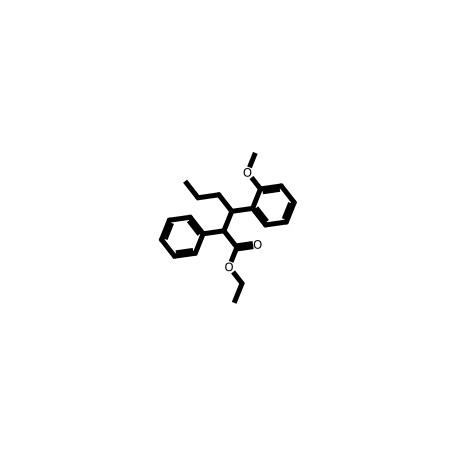 CCCC(c1ccccc1OC)C(C(=O)OCC)c1ccccc1